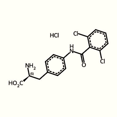 Cl.N[C@@H](Cc1ccc(NC(=O)c2c(Cl)cccc2Cl)cc1)C(=O)O